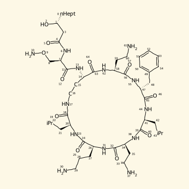 CCCCCCC[C@@H](O)CC(=O)N[C@H](CON)C(=O)N[C@H]1CCNC(=O)[C@H](CC(C)C)NC(=O)[C@H](CCCN)NC(=O)[C@H](CCN)NC(=O)[C@H](CC(C)C)NC(=O)[C@@H](Cc2ccccc2)NC(=O)[C@H](CCN)NC1=O